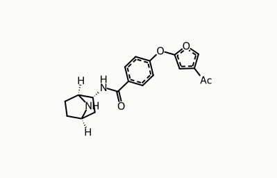 CC(=O)c1coc(Oc2ccc(C(=O)N[C@@H]3C[C@H]4CC[C@@H]3N4)cc2)c1